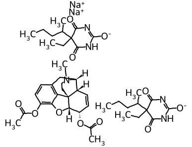 CC(=O)Oc1ccc2c3c1O[C@H]1[C@@H](OC(C)=O)C=C[C@H]4[C@@H](C2)N(C)CC[C@@]341.CCCC(C)C1(CC)C(=O)N=C([O-])NC1=O.CCCC(C)C1(CC)C(=O)N=C([O-])NC1=O.[Na+].[Na+]